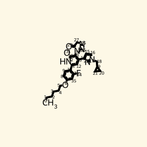 CCCCCCOc1ccc(-c2cc(-c3ccn(CC4CC4)n3)c(N3N=NCC3=O)c(=O)[nH]2)c(F)c1